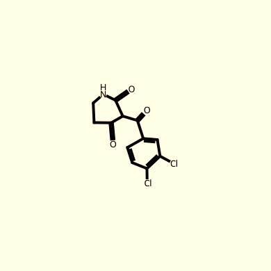 O=C1CCNC(=O)C1C(=O)c1ccc(Cl)c(Cl)c1